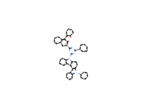 c1ccc(-c2nc(-c3cc4ccccc4c4c3oc3ccccc34)nc(-n3c4ccccc4c4c5c6ccccc6n(-c6ccccc6)c5ccc43)n2)cc1